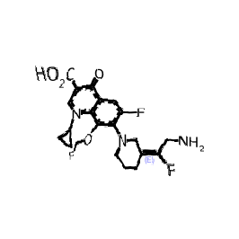 NC/C(F)=C1/CCCN(c2c(F)cc3c(=O)c(C(=O)O)cn(C4CC4)c3c2OCF)C1